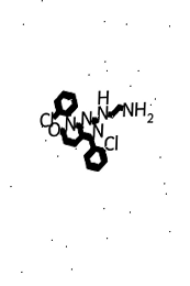 NCCNc1nc(-c2ccccc2Cl)c2ccc(=O)n(-c3ccccc3Cl)c2n1